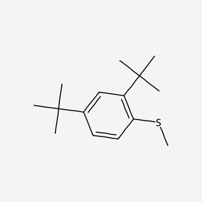 CSc1ccc(C(C)(C)C)cc1C(C)(C)C